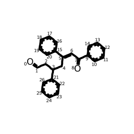 O=CCC(C/C(=C\C(=O)c1ccccc1)c1ccccc1)c1ccccc1